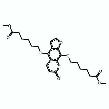 COC(=O)CCCCCOc1c2ccoc2c(OCCCCCC(=O)OC)c2oc(=O)ccc12